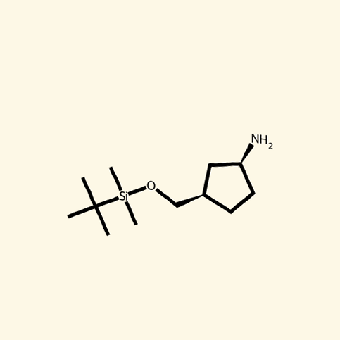 CC(C)(C)[Si](C)(C)OC[C@@H]1CC[C@H](N)C1